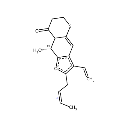 C=Cc1c(C/C=C\C)oc2c1C=C1SCCC(=O)C1[C@H]2C